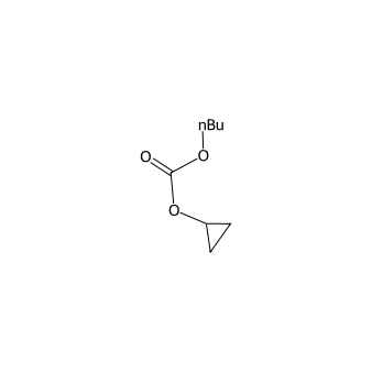 [CH2]CCCOC(=O)OC1CC1